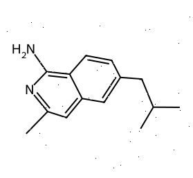 Cc1cc2cc(CC(C)C)ccc2c(N)n1